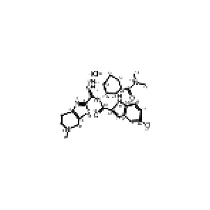 CN1CCc2nc(C(=O)N(C(=O)c3cc4cc(Cl)ccc4[nH]3)[C@H]3C[C@H](C(=O)N(C)C)CC[C@H]3N)sc2C1.Cl